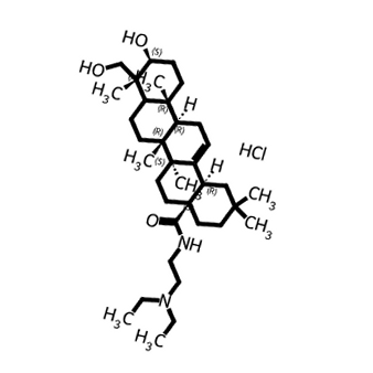 CCN(CC)CCNC(=O)[C@]12CCC(C)(C)C[C@@H]1C1=CC[C@@H]3[C@@]4(C)CC[C@H](O)[C@@](C)(CO)C4CC[C@@]3(C)[C@]1(C)CC2.Cl